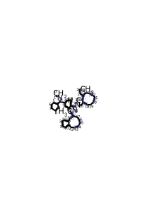 C=C/N=C(\c1ccccc1)c1ccc(C(=N/CC2=C/C/C=C\C=C/CC(/C=C\C)=C\2C)/N=C(C)/C2=C/c3ccccc3C/C=C\C=C/C2)cc1